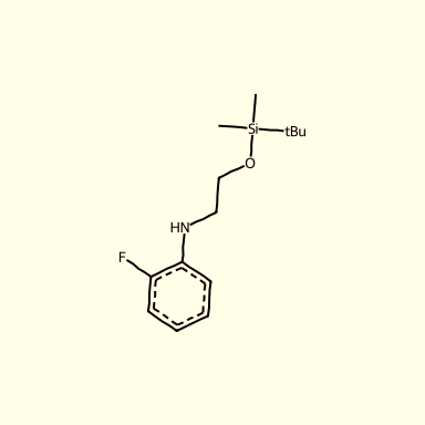 CC(C)(C)[Si](C)(C)OCCNc1ccccc1F